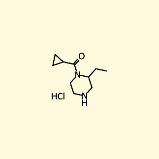 CCC1CNCCN1C(=O)C1CC1.Cl